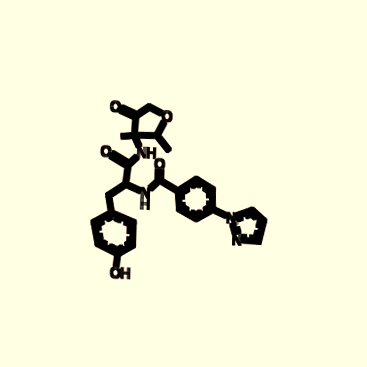 CC1OCC(=O)C1(C)NC(=O)C(Cc1ccc(O)cc1)NC(=O)c1ccc(-n2cccn2)cc1